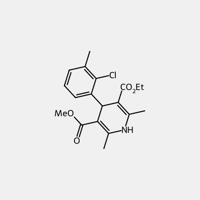 CCOC(=O)C1=C(C)NC(C)=C(C(=O)OC)C1c1cccc(C)c1Cl